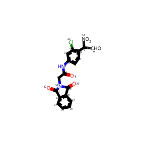 O=CC(c1ccc(NC(=O)CN2C(=O)c3ccccc3C2=O)cc1Cl)[N+](=O)[O-]